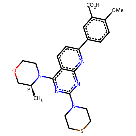 COc1ccc(-c2ccc3c(N4CCOC[C@@H]4C)nc(N4CCSCC4)nc3n2)cc1C(=O)O